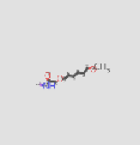 COCCCCCCOCC(=O)NI